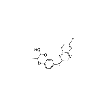 CC(Oc1ccc(Oc2cnc3cc(F)ccc3n2)cc1)C(=O)O